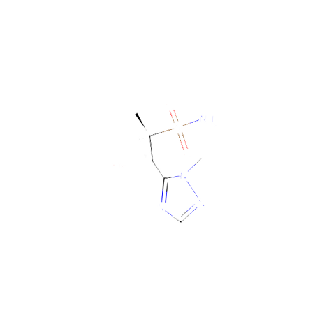 C[C@H]([C@@H](O)c1ncnn1C)S(N)(=O)=O